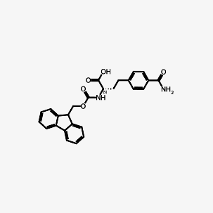 NC(=O)c1ccc(CC[C@H](NC(=O)OCC2c3ccccc3-c3ccccc32)C(=O)O)cc1